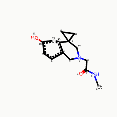 CCNC(=O)CN1Cc2ccc(O)cc2C2(CC2)C1